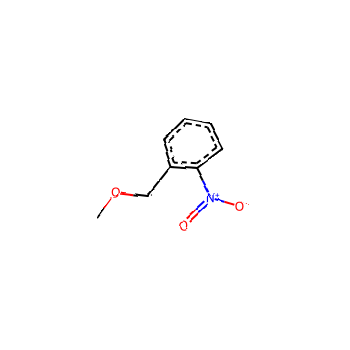 CO[CH]c1ccccc1[N+](=O)[O-]